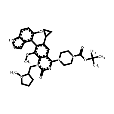 COc1c(-c2c(C)ccc3[nH]ncc23)c(C2CC2)cc2c(N3CCN(C(=O)OC(C)(C)C)CC3)nc(=O)n(CC3CCCN3C)c12